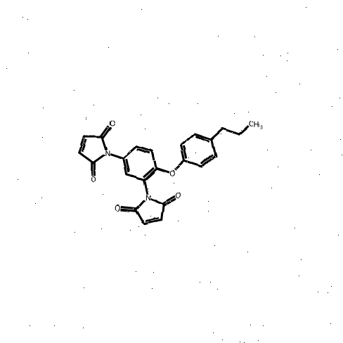 CCCc1ccc(Oc2ccc(N3C(=O)C=CC3=O)cc2N2C(=O)C=CC2=O)cc1